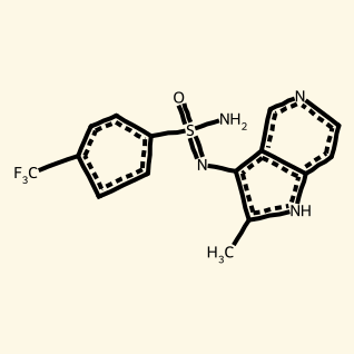 Cc1[nH]c2ccncc2c1N=S(N)(=O)c1ccc(C(F)(F)F)cc1